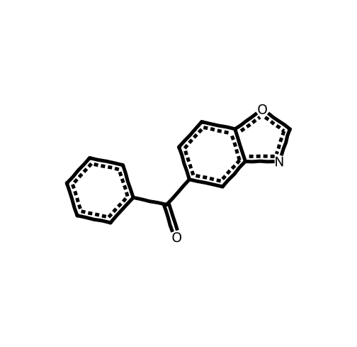 O=C(c1ccccc1)c1ccc2ocnc2c1